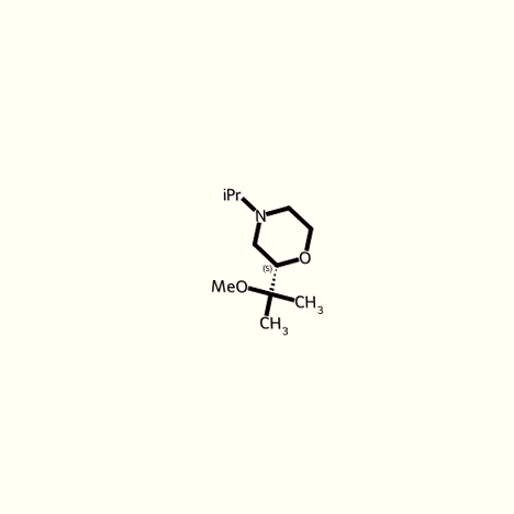 COC(C)(C)[C@@H]1CN(C(C)C)CCO1